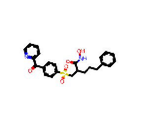 O=C(c1ccc(S(=O)(=O)CC(CCCc2ccccc2)C(=O)NO)cc1)c1ccccn1